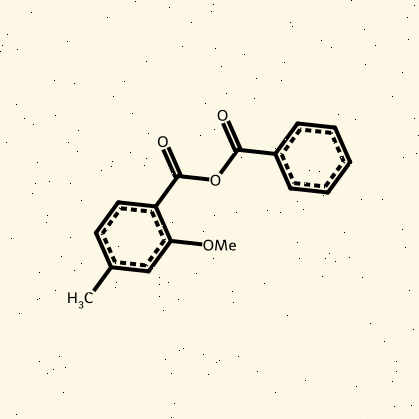 COc1cc(C)ccc1C(=O)OC(=O)c1ccccc1